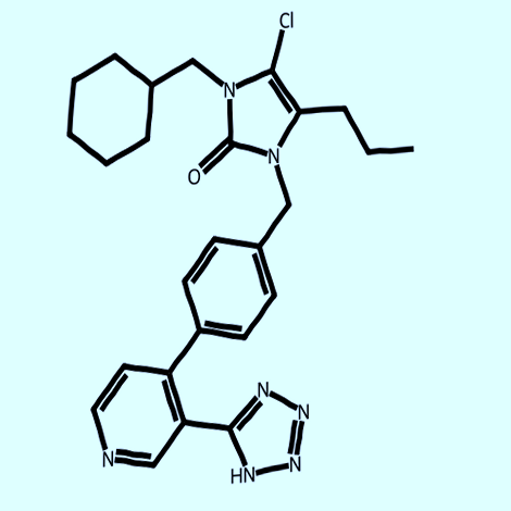 CCCc1c(Cl)n(CC2CCCCC2)c(=O)n1Cc1ccc(-c2ccncc2-c2nnn[nH]2)cc1